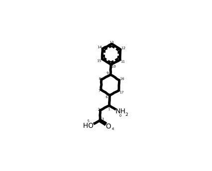 NC(CC(=O)O)C1CCC(c2ccccc2)CC1